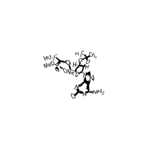 COP(=O)(OC)C(OC[C@H]1O[C@@H](n2cnc3c(N)nc(Cl)nc32)[C@@H]2OC(C)(C)O[C@@H]21)C(=O)O